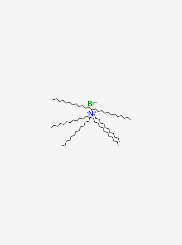 CCCCCCCCCCCCC(CCCCCCCCCCCC)[N+](C)(CCCCCCCCCCCC)C(CCCCCCCCCCCC)(CCCCCCCCCCCC)CCCCCCCCCCCC.[Br-]